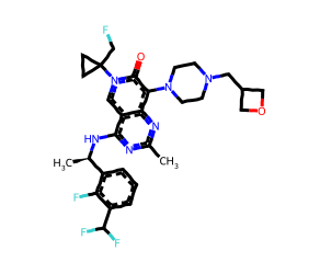 Cc1nc(N[C@H](C)c2cccc(C(F)F)c2F)c2cn(C3(CF)CC3)c(=O)c(N3CCN(CC4COC4)CC3)c2n1